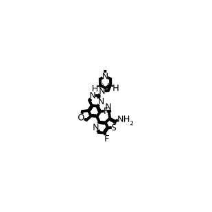 CN1C[C@H]2C[C@@H](C1)N(c1ncc3c4c(c(-c5ncc(F)c6sc(N)c(C#N)c56)c(F)c3n1)COC4)C2